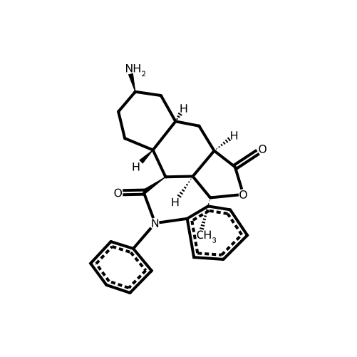 C[C@H]1OC(=O)[C@@H]2C[C@@H]3C[C@H](N)CC[C@H]3[C@H](C(=O)N(c3ccccc3)c3ccccc3)[C@H]12